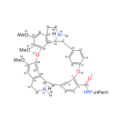 CCCCCNC(=O)c1ccc2cc1Oc1ccc(cc1)C[C@H]1c3c(cc(OC)c(OC)c3Oc3cc4c(cc3OC)CCN(C)[C@@H]4C2)CCN1C